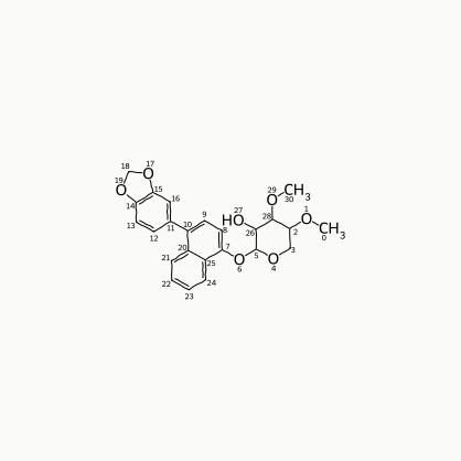 COC1COC(Oc2ccc(-c3ccc4c(c3)OCO4)c3ccccc23)C(O)C1OC